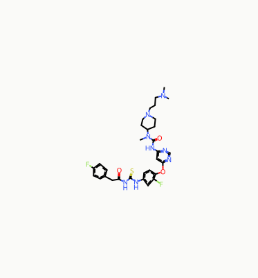 CN(C)CCCN1CCC(N(C)C(=O)Nc2cc(Oc3ccc(NC(=S)NC(=O)Cc4ccc(F)cc4)cc3F)ncn2)CC1